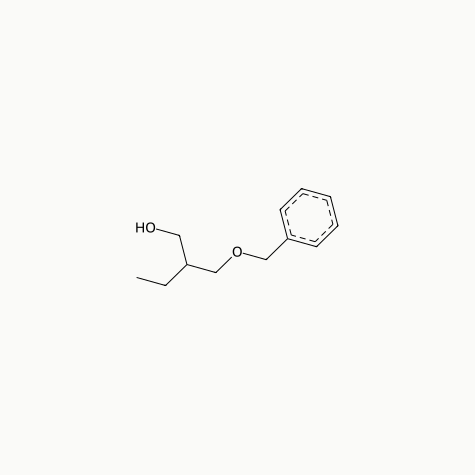 CCC(CO)COCc1ccccc1